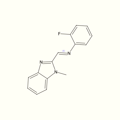 Cn1c(/C=N/c2ccccc2F)nc2ccccc21